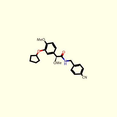 COc1ccc([C@H](OC)C(=O)NCc2ccc(C#N)cc2)cc1OC1CCCC1